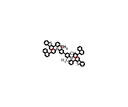 Cc1cc(-c2ccc(N(c3ccc(-c4cccc5ccccc45)cc3)c3c(C)cccc3-c3cccc4c3sc3ccccc34)c(C)c2)ccc1N(c1ccc(-c2cccc3ccccc23)cc1)c1c(C)cccc1-c1cccc2c1sc1ccccc12